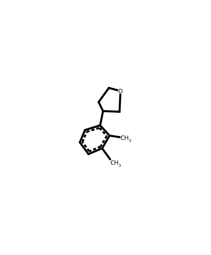 Cc1cccc(C2CCOC2)c1C